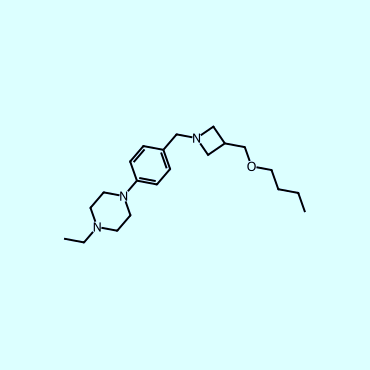 CCCCOCC1CN(Cc2ccc(N3CCN(CC)CC3)cc2)C1